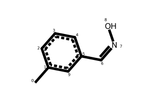 Cc1cccc(/C=N\O)c1